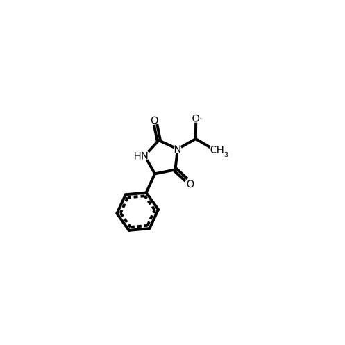 CC([O])N1C(=O)NC(c2ccccc2)C1=O